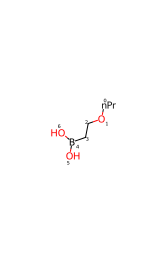 CCCOCCB(O)O